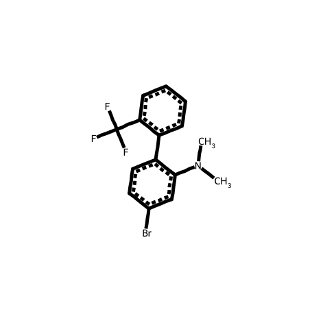 CN(C)c1cc(Br)ccc1-c1ccccc1C(F)(F)F